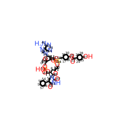 C[C@H]1OP(=O)(O)O[C@@H]2C[C@@H](COP(=O)(SCc3ccc(OC(=O)c4ccc(O)cc4)cc3)O[C@H]3C[C@H](n4cnc5c(N)ncnc54)O[C@@H]31)O[C@H]2n1cc(-c2ccccc2)c(=O)[nH]c1=O